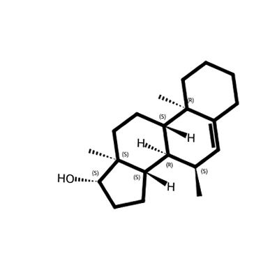 C[C@@H]1C=C2CCCC[C@]2(C)[C@H]2CC[C@]3(C)[C@@H](O)CC[C@H]3[C@H]12